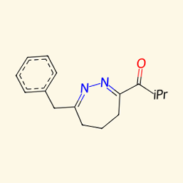 CC(C)C(=O)C1=NN=C(Cc2ccccc2)CCC1